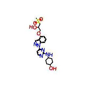 CS(=O)(=O)CC(O)COc1cccc2c1cnn2-c1ccnc(NC2CCC(O)CC2)n1